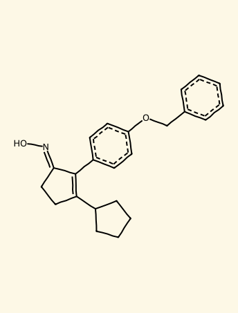 ON=C1CCC(C2CCCC2)=C1c1ccc(OCc2ccccc2)cc1